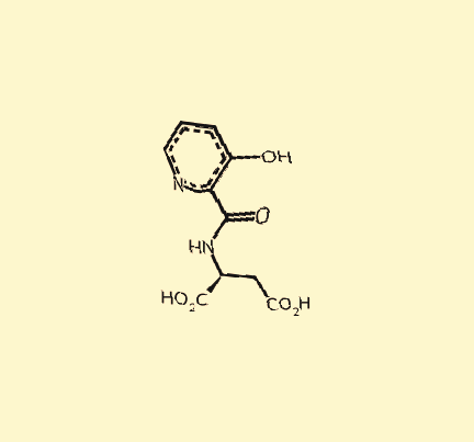 O=C(O)C[C@H](NC(=O)c1ncccc1O)C(=O)O